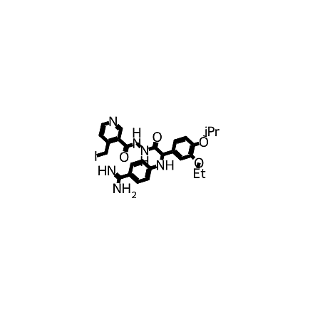 CCOc1cc(C(Nc2ccc(C(=N)N)cc2)C(=O)NNC(=O)c2cnccc2CI)ccc1OC(C)C